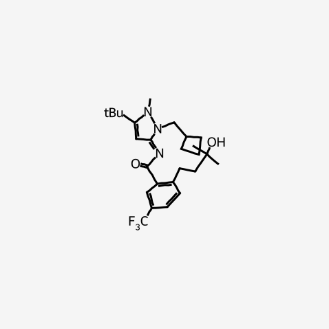 Cn1c(C(C)(C)C)cc(=NC(=O)c2cc(C(F)(F)F)ccc2CCC(C)(C)O)n1CC1CCC1